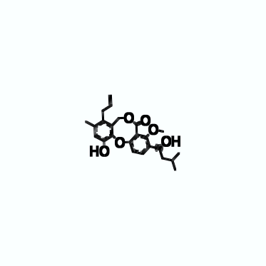 C=CCc1c(C)cc(O)c2c1COC(=O)c1c(ccc([C@@H](O)CC(C)C)c1OC)O2